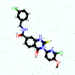 COc1ccc(-n2c(=S)[nH]c3cc(C(=O)NCc4cccc(Cl)c4)ccc3c2=O)nc1Cl